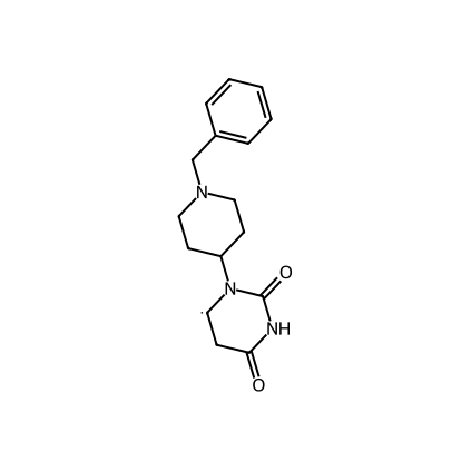 O=C1C[CH]N(C2CCN(Cc3ccccc3)CC2)C(=O)N1